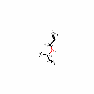 C=C[SiH2]O[Si](C)C